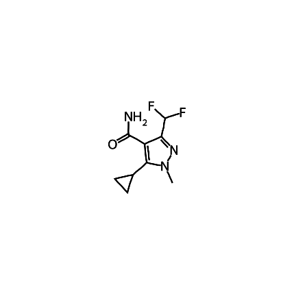 Cn1nc(C(F)F)c(C(N)=O)c1C1CC1